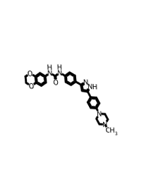 CN1CCN(c2ccc(-c3cc(-c4ccc(NC(=O)Nc5ccc6c(c5)OCCO6)cc4)n[nH]3)cc2)CC1